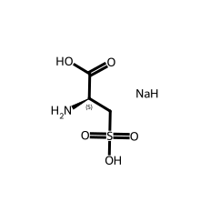 N[C@H](CS(=O)(=O)O)C(=O)O.[NaH]